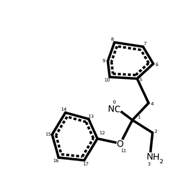 N#CC(CN)(Cc1ccccc1)Oc1ccccc1